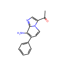 CC(=O)c1cnc2c(N)c(-c3ccccc3)ccn12